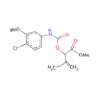 C=C(C)C(OC(=O)Nc1ccc(Cl)c(OC)c1)C(=O)OC